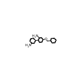 Nc1cccc(-c2ccc(OCc3ccccc3)cc2N)c1